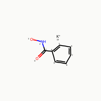 O=C(N[O-])c1ccccc1.[K+]